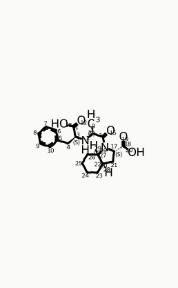 C[C@H](N[C@@H](Cc1ccccc1)C(=O)O)C(=O)N1[C@H](C(=O)O)C[C@H]2CCCC[C@@H]21